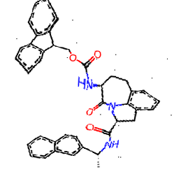 C[C@@H](NC(=O)[C@@H]1Cc2cccc3c2N1C(=O)[C@@H](NC(=O)OCC1c2ccccc2-c2ccccc21)CC3)c1ccc2ccccc2c1